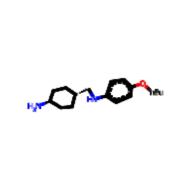 CCCCOc1ccc(NC[C@H]2CC[C@H](N)CC2)cc1